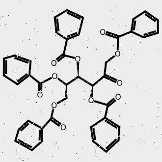 O=C(OCC(=O)[C@@H](OC(=O)c1ccccc1)[C@H](OC(=O)c1ccccc1)[C@@H](COC(=O)c1ccccc1)OC(=O)c1ccccc1)c1ccccc1